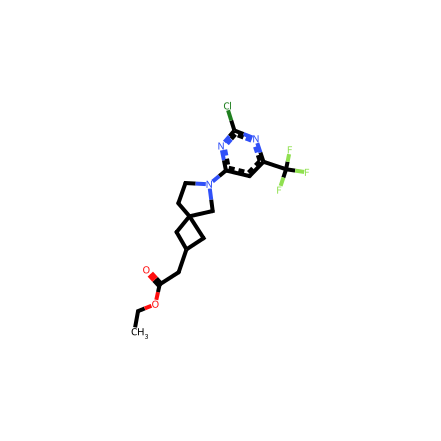 CCOC(=O)CC1CC2(CCN(c3cc(C(F)(F)F)nc(Cl)n3)C2)C1